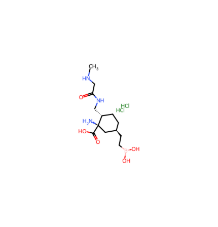 CNCC(=O)NC[C@@H]1CC[C@@H](CCB(O)O)C[C@]1(N)C(=O)O.Cl.Cl